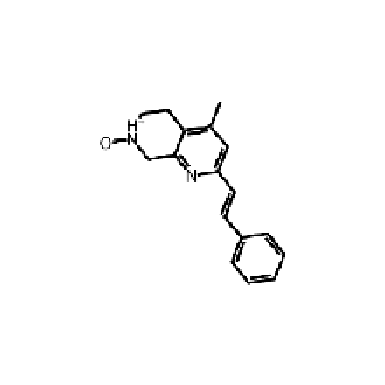 Cc1cc(C=Cc2ccccc2)nc2c1CC[NH+]([O-])C2